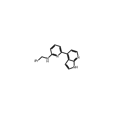 CC(C)CNc1cccc(-c2ccnc3[nH]ccc23)n1